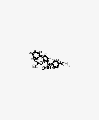 CCC(=O)Oc1c(N([SH]=O)c2ccc(C)cc2)ccn1-c1ccccc1